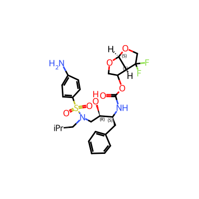 CC(C)CN(C[C@@H](O)[C@H](Cc1ccccc1)NC(=O)OC1CO[C@H]2OCC(F)(F)[C@@H]12)S(=O)(=O)c1ccc(N)cc1